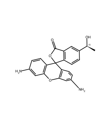 C[C@H](O)c1ccc2c(c1)C(=O)OC21c2ccc(N)cc2Oc2cc(N)ccc21